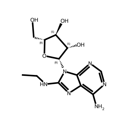 CCNc1nc2c(N)ncnc2n1[C@@H]1O[C@H](CO)[C@@H](O)[C@@H]1O